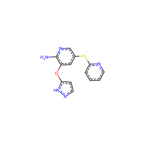 Nc1ncc(Sc2ccccn2)cc1Oc1ccn[nH]1